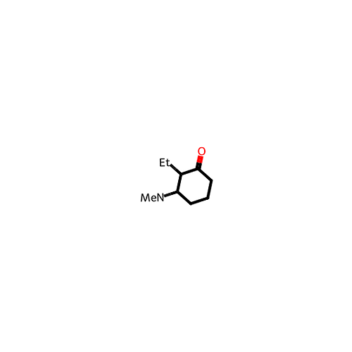 CCC1C(=O)CCCC1NC